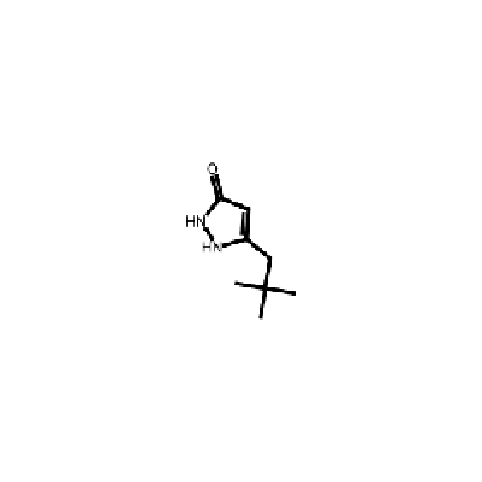 CC(C)(C)Cc1cc(=O)[nH][nH]1